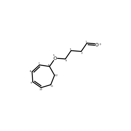 O=CCCCOC1C=CC=CCC1